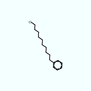 ClCCCCCCCCCCc1ccccc1